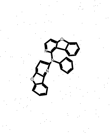 c1ccc(N(c2ccc3oc4ccccc4c3n2)c2nccc3oc4ccccc4c23)cc1